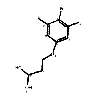 Cc1cc(OCCC(O)O)cc(C)c1Br